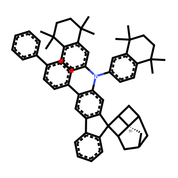 CC1(C)CCC(C)(C)c2cc(N(c3ccc4c(c3)C(C)(C)CCC4(C)C)c3cc4c(cc3-c3ccc(-c5ccccc5)cc3)-c3ccccc3C43C4CC5CC6CC3[C@@]64C5)ccc21